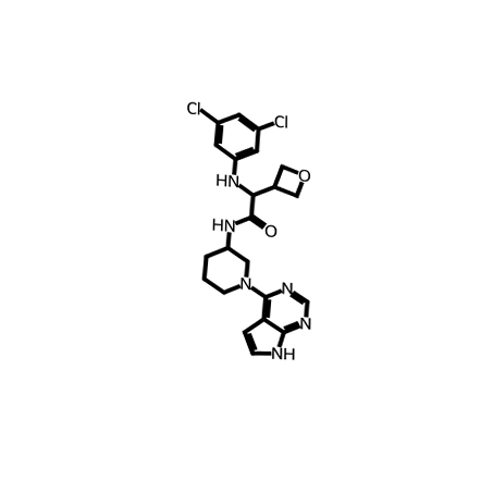 O=C(NC1CCCN(c2ncnc3[nH]ccc23)C1)C(Nc1cc(Cl)cc(Cl)c1)C1COC1